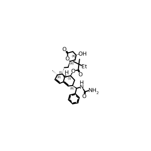 CCC(C)(C)C(=O)O[C@H]1C[C@@H](C(NC(N)=O)c2ccccc2)C=C2C=C[C@H](C)[C@H](CC[C@@H]3C[C@@H](O)CC(=O)O3)[C@H]21